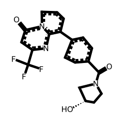 O=C(c1ccc(-c2cccn3c(=O)cc(C(F)(F)F)nc23)cc1)N1CC[C@H](O)C1